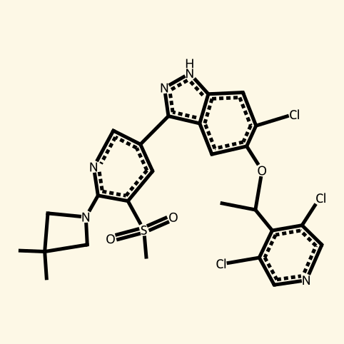 CC(Oc1cc2c(-c3cnc(N4CC(C)(C)C4)c(S(C)(=O)=O)c3)n[nH]c2cc1Cl)c1c(Cl)cncc1Cl